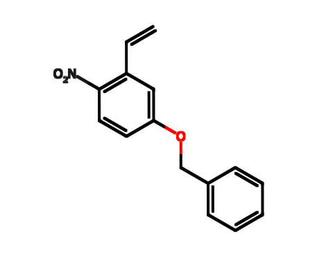 C=Cc1cc(OCc2ccccc2)ccc1[N+](=O)[O-]